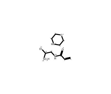 C1COCCN1.C=CC(=O)NCC(CC)S(=O)(=O)O